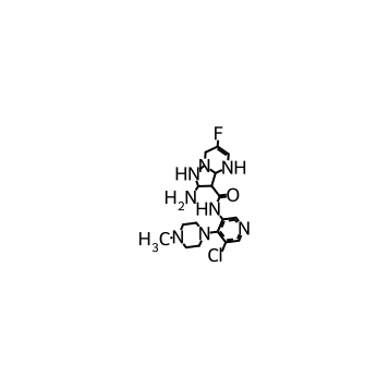 CN1CCN(c2c(Cl)cncc2NC(=O)C2C(N)NN3CC(F)=CNC23)CC1